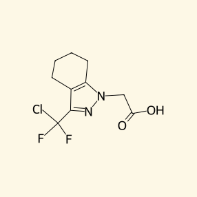 O=C(O)Cn1nc(C(F)(F)Cl)c2c1CCCC2